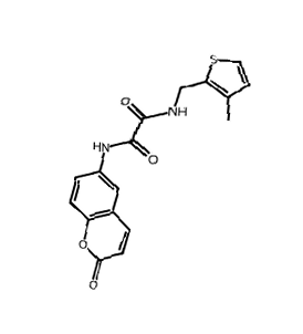 Cc1ccsc1CNC(=O)C(=O)Nc1ccc2oc(=O)ccc2c1